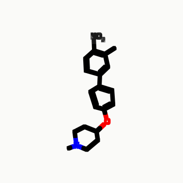 Cc1cc(-c2ccc(OC3CCN(C)CC3)cc2)ccc1[N+](=O)[O-]